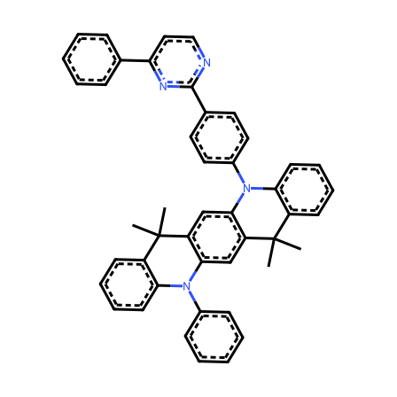 CC1(C)c2ccccc2N(c2ccccc2)c2cc3c(cc21)N(c1ccc(-c2nccc(-c4ccccc4)n2)cc1)c1ccccc1C3(C)C